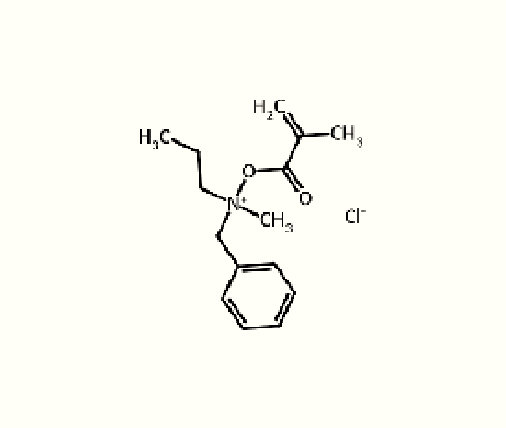 C=C(C)C(=O)O[N+](C)(CCC)Cc1ccccc1.[Cl-]